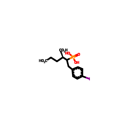 O=C(O)CC[C@@H](C(=O)O)C(Cc1ccc(I)cc1)P(=O)(O)O